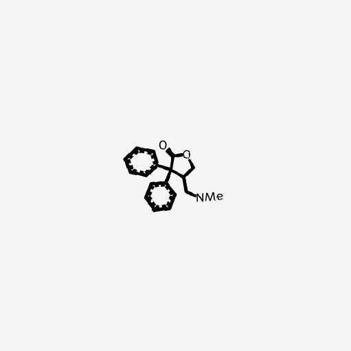 CNCC1COC(=O)C1(c1ccccc1)c1ccccc1